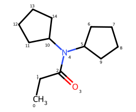 C[CH]C(=O)N(C1CCCC1)C1CCCC1